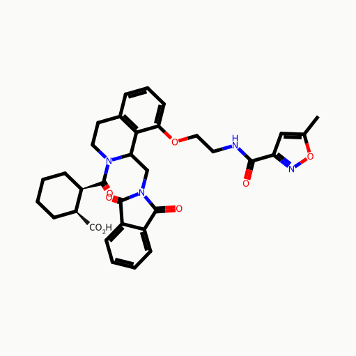 Cc1cc(C(=O)NCCOc2cccc3c2C(CN2C(=O)c4ccccc4C2=O)N(C(=O)[C@@H]2CCCC[C@@H]2C(=O)O)CC3)no1